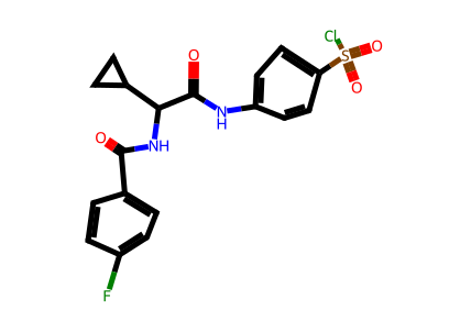 O=C(NC(C(=O)Nc1ccc(S(=O)(=O)Cl)cc1)C1CC1)c1ccc(F)cc1